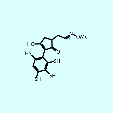 CO/N=C/CC1CC(O)=C(c2c(S)cc(S)c(S)c2S)C1=O